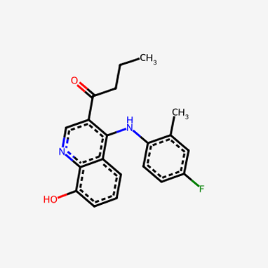 CCCC(=O)c1cnc2c(O)cccc2c1Nc1ccc(F)cc1C